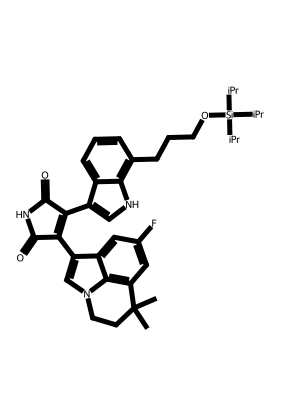 CC(C)[Si](OCCCc1cccc2c(C3=C(c4cn5c6c(cc(F)cc46)C(C)(C)CC5)C(=O)NC3=O)c[nH]c12)(C(C)C)C(C)C